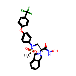 CS(=O)(=O)N(C[C@@H](C(=O)NO)N1Cc2ccccc2C1)c1ccc(Oc2ccc(C(F)(F)F)cc2)cc1